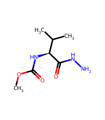 COC(=O)N[C@H](C(=O)NN)C(C)C